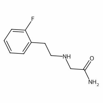 NC(=O)CNCCc1ccccc1F